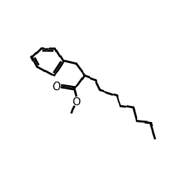 CCCCCCCCC(Cc1ccccc1)C(=O)OC